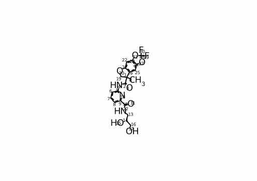 CC1(C(=O)Nc2cccc(C(=O)NC[C@@H](O)CO)n2)COc2cc3c(cc21)OC(F)(F)O3